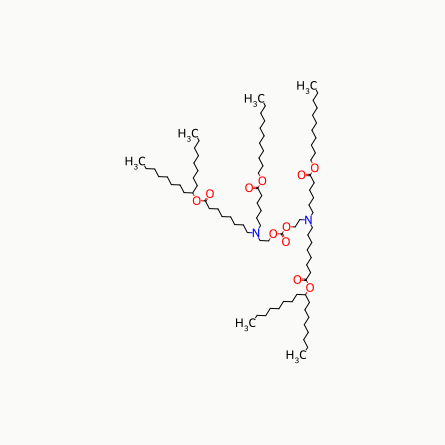 CCCCCCCCCCCOC(=O)CCCCCN(CCCCCCCC(=O)OC(CCCCCCCC)CCCCCCCC)CCOC(=O)OCCN(CCCCCCCC(=O)OC(CCCCCCCC)CCCCCCCC)CCCCCC(=O)OCCCCCCCCCCC